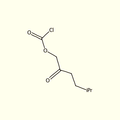 CC(C)CCC(=O)COC(=O)Cl